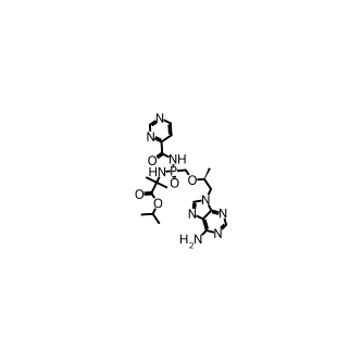 CC(C)OC(=O)C(C)(C)NP(=O)(CO[C@@H](C)Cn1cnc2c(N)ncnc21)NC(=O)c1ccncn1